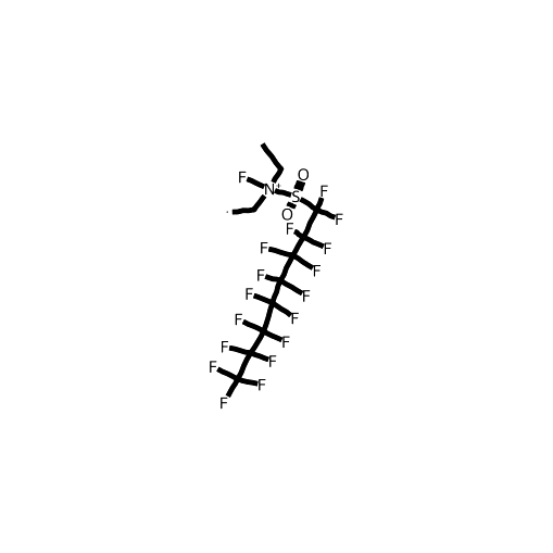 [CH2]C[N+](F)(CC)S(=O)(=O)C(F)(F)C(F)(F)C(F)(F)C(F)(F)C(F)(F)C(F)(F)C(F)(F)C(F)(F)F